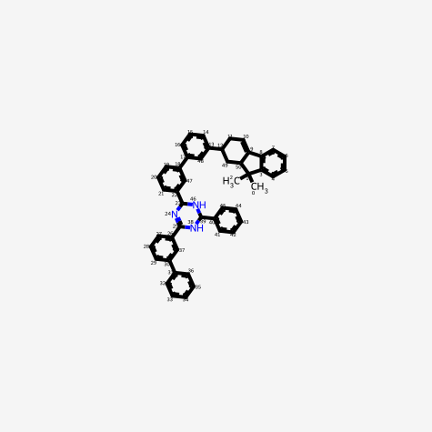 CC1(C)c2ccccc2C2=CCC(c3cccc(-c4cccc(C5N=C(c6cccc(-c7ccccc7)c6)NC(c6ccccc6)N5)c4)c3)CC21